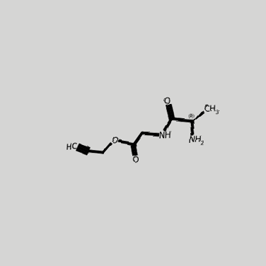 C#CCOC(=O)CNC(=O)[C@@H](C)N